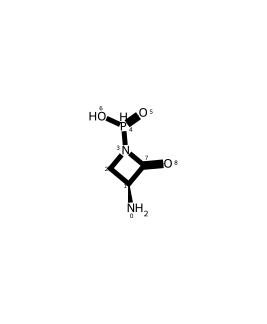 N[C@H]1CN([PH](=O)O)C1=O